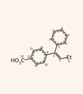 CC/C=C(\c1ccccc1)c1ccc(C(=O)O)cc1